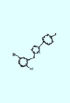 CCc1ccc(Br)cc1Cc1ccc(-c2ccc(F)cc2)s1